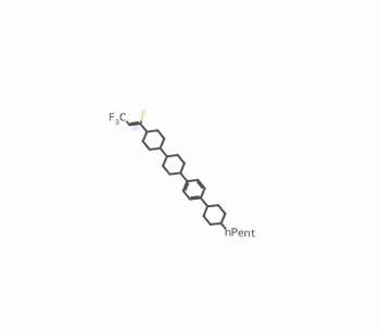 CCCCCC1CCC(c2ccc(C3CCC(C4CCC(/C(F)=C/C(F)(F)F)CC4)CC3)cc2)CC1